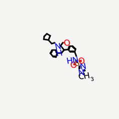 Cn1cnc(S(=O)(=O)NCc2ccc3c(c2)C(Cc2ccccc2)C(NCCC2CCCC2)CO3)c1